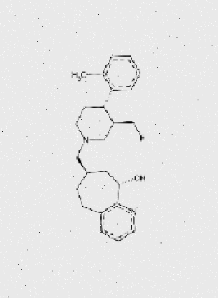 Cc1ccccc1[C@H]1CCN(C[C@@H]2CCc3cccnc3[C@@H](O)C2)C[C@@H]1CF